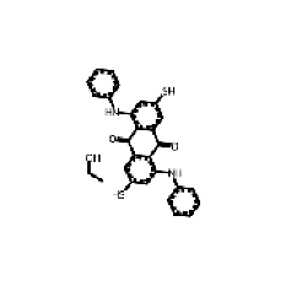 CCO.O=C1c2cc(S)cc(Nc3ccccc3)c2C(=O)c2cc(S)cc(Nc3ccccc3)c21